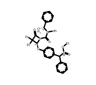 CCCN(C(=O)N1C(=O)C(CC)(CC)[C@@H]1Oc1ccc(C(c2ccccc2)[PH](=O)OCC)cc1)[C@H](C)c1ccccc1